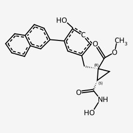 COC(=O)[C@@]1(Cc2ccc(O)c(-c3ccc4ccccc4c3)c2)C[C@@H]1C(=O)NO